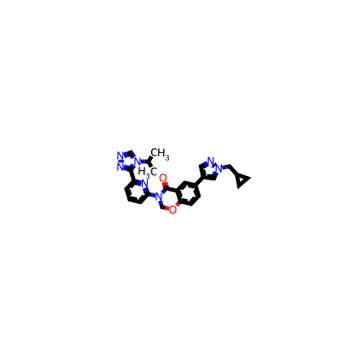 CC(C)n1cnnc1-c1cccc(N2COc3ccc(-c4cnn(CC5CC5)c4)cc3C2=O)n1